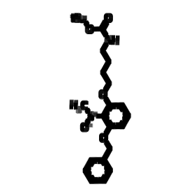 C[S+]([O-])c1c(OCCCCNC(=O)OC(C)(C)C)cccc1OCc1ccccc1